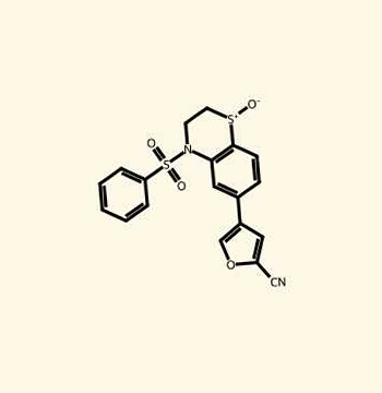 N#Cc1cc(-c2ccc3c(c2)N(S(=O)(=O)c2ccccc2)CC[S+]3[O-])co1